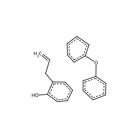 C=CCc1ccccc1O.c1ccc(Oc2ccccc2)cc1